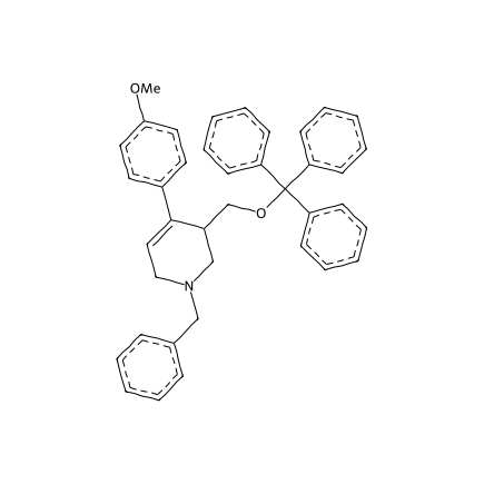 COc1ccc(C2=CCN(Cc3ccccc3)CC2COC(c2ccccc2)(c2ccccc2)c2ccccc2)cc1